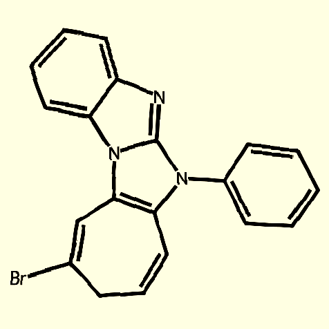 BrC1=Cc2c(n(-c3ccccc3)c3nc4ccccc4n23)C=CC1